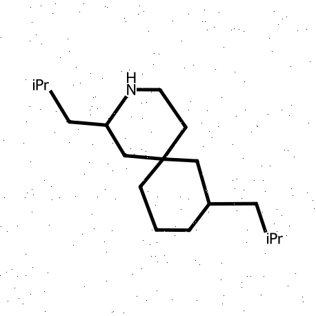 CC(C)CC1CCCC2(CCNC(CC(C)C)C2)C1